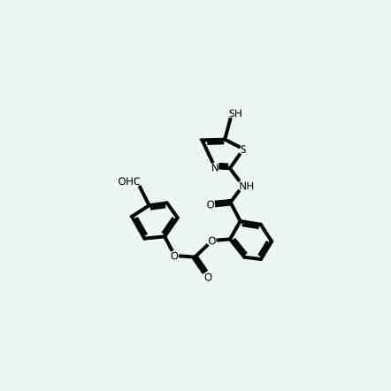 O=Cc1ccc(OC(=O)Oc2ccccc2C(=O)Nc2ncc(S)s2)cc1